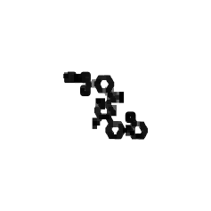 CC(C)(C)OC(=O)[C@@H]1CCC[C@H](Nc2ncc(F)c(-c3cccc(-n4ccccc4=O)c3)n2)C1